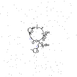 C=C1C[C@H](C)C[C@@H]2CC=C[C@@H](C/C=C\C(=O)O[C@H](C(/C=C/[C@@H]3CC(C)=CCO3)O[Si](C)(C)C(C)(C)C)C[C@@H]3O[C@H]3[C@@H](O)C1)O2